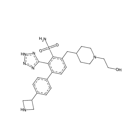 NS(=O)(=O)c1c(CC2CCN(CCO)CC2)ccc(-c2ccc(C3CNC3)cc2)c1-c1nn[nH]n1